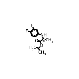 CC(C)OC(=O)[C@H](C)Nc1ccc(F)c(F)c1